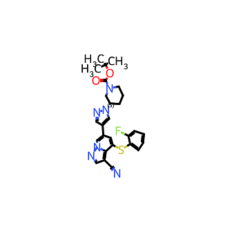 CC(C)(C)OC(=O)N1CCC[C@H](n2cc(-c3cc(Sc4ccccc4F)c4c(C#N)cnn4c3)cn2)C1